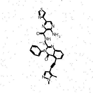 Cc1c(C#Cc2cccc3nc([C@H](C)NC(=O)c4nc(-c5cscn5)cnc4N)n(-c4ccccc4)c(=O)c23)cnn1C